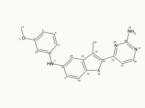 COc1cccc(Nc2ccc3sc(-c4ccnc(N)n4)c(C)c3c2)c1